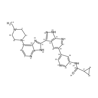 CN1CCN(c2ccnc3[nH]c(-c4n[nH]c5ncc(-c6cncc(NC(=O)C7CC7)c6)cc45)nc23)CC1